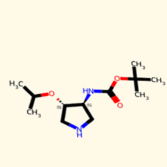 CC(C)O[C@H]1CNC[C@@H]1NC(=O)OC(C)(C)C